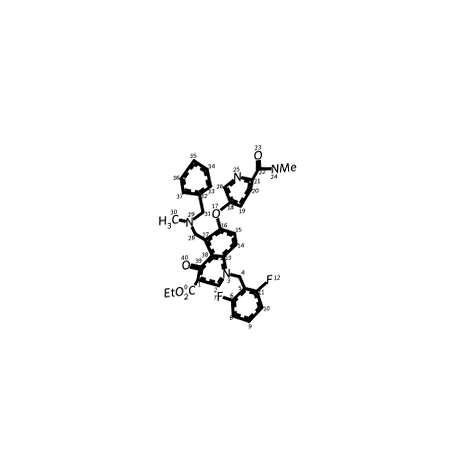 CCOC(=O)c1cn(Cc2c(F)cccc2F)c2ccc(Oc3ccc(C(=O)NC)nc3)c(CN(C)Cc3ccccc3)c2c1=O